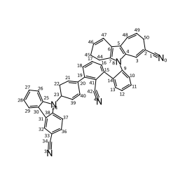 N#CC1=Cc2c(c3c(n2-c2ccccc2-c2cccc(C4=CCC(n5c6ccccc6c6cc(C#N)ccc65)C=C4)c2C#N)CCC=C3)C=CC1